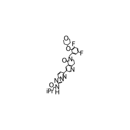 CC(C)C(=O)Nc1cn2nc(-c3cnc4c(c3)C(=O)N(Cc3cc(F)cc(F)c3OC3CCOCC3)CC4)ccc2n1